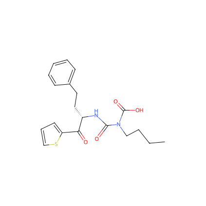 CCCCN(C(=O)O)C(=O)N[C@@H](CCc1ccccc1)C(=O)c1cccs1